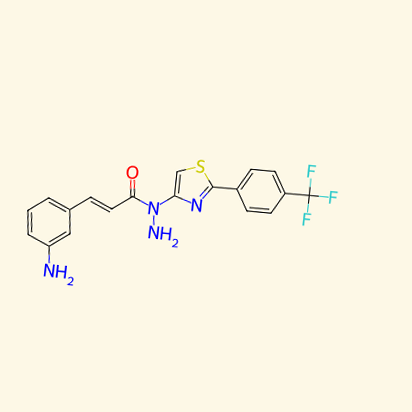 Nc1cccc(C=CC(=O)N(N)c2csc(-c3ccc(C(F)(F)F)cc3)n2)c1